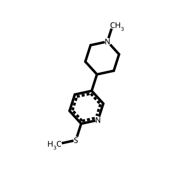 CSc1ccc(C2CCN(C)CC2)cn1